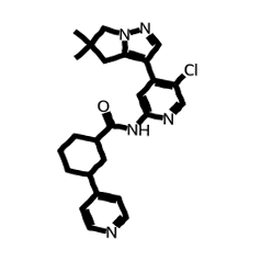 CC1(C)Cc2c(-c3cc(NC(=O)C4CCCC(c5ccncc5)C4)ncc3Cl)cnn2C1